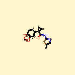 Cc1cnc(NC(=O)C2(c3ccc4c(c3)OCO4)CC2)s1